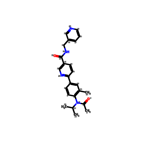 CC(=O)N(c1ccc(-c2ccc(C(=O)NCc3cccnc3)cn2)cc1C)C(C)C